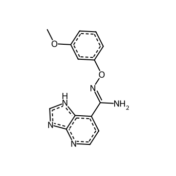 COc1cccc(ON=C(N)c2ccnc3nc[nH]c23)c1